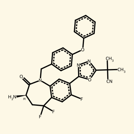 CC(C)(C#N)c1nnc(-c2cc3c(cc2F)C(F)(F)C[C@@H](N)C(=O)N3Cc2ccc(Oc3ccccc3)cc2)o1